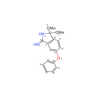 COC1(OC)NC(=N)c2cc(Oc3ccccc3)ccc21